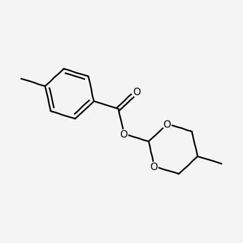 Cc1ccc(C(=O)OC2OCC(C)CO2)cc1